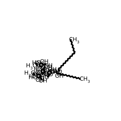 CCCCCCCC/C=C\CCCCCCCCCCCCCC(=O)N[C@@H](CO[C@@H]1OC(CO)[C@@H](O[C@@H]2OC(CO)[C@H](O[C@@H]3OC(CO)[C@H](O)[C@H](O)C3NC(C)=O)[C@H](O[C@@H]3OC(CO)[C@@H](O)[C@H](O)C3NC(C)=O)C2O)[C@H](O)C1O)[C@H](O)/C=C/CCCCCCCCCCCCC